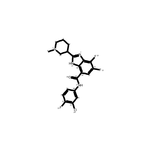 CN1CCCC(c2nc3c(F)c(F)cc(C(=O)Nc4ccc(F)c(Cl)c4)c3[nH]2)C1